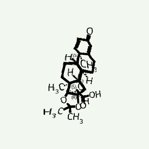 CC1(C)O[C@@H]2C[C@H]3[C@@H]4CCC5=CC(=O)C=C[C@]5(C)[C@H]4CC[C@]3(C)[C@]2(C(=O)C(=O)O)O1